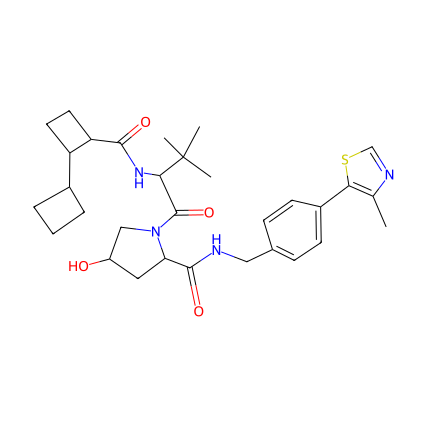 Cc1ncsc1-c1ccc(CNC(=O)C2CC(O)CN2C(=O)C(NC(=O)C2CCC2C2CCC2)C(C)(C)C)cc1